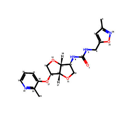 Cc1cc(CNC(=O)N[C@H]2CO[C@H]3[C@@H]2OC[C@@H]3Oc2cccnc2C)on1